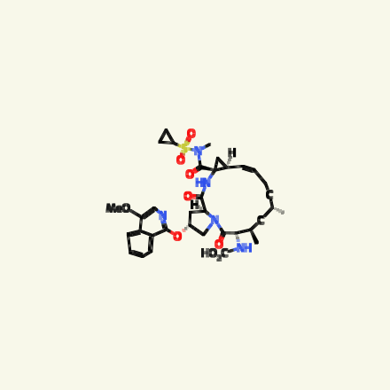 COc1cnc(O[C@@H]2C[C@H]3C(=O)N[C@]4(C(=O)N(C)S(=O)(=O)C5CC5)C[C@H]4C=CCC[C@H](C)C[C@@H](C)[C@H](NC(=O)O)C(=O)N3C2)c2ccccc12